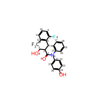 O=C(C(CO)Cc1c(F)cccc1C(F)(F)F)N(c1ccccc1)c1ccc(O)cc1